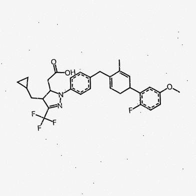 COc1ccc(F)c(C2C=C(C)C(Cc3ccc(N4N=C(C(F)(F)F)C(CC5CC5)C4CC(=O)O)cc3)=CC2)c1